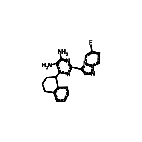 Nc1nc(-c2cnc3ccc(F)cn23)nc(C2CCCc3ccccc32)c1N